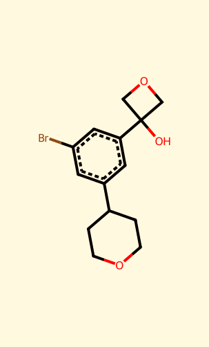 OC1(c2cc(Br)cc(C3CCOCC3)c2)COC1